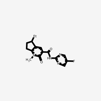 CCC1CCc2c1cc(C(=O)Nc1ncc(F)cn1)c(=O)n2C